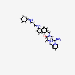 C[C@H](NCc1ccccn1)C(=O)N(CCCN)Cc1ccc2c(c1)CCC2NCCCNC1CCCCC1